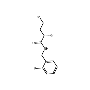 O=C(NCc1ccccc1F)[C@@H](Br)CCBr